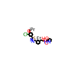 CCc1c(CCOC(=O)[C@]2(O)CCCN2)cccc1-c1nnc(-c2ccc(OC(C)C)c(Cl)c2)s1